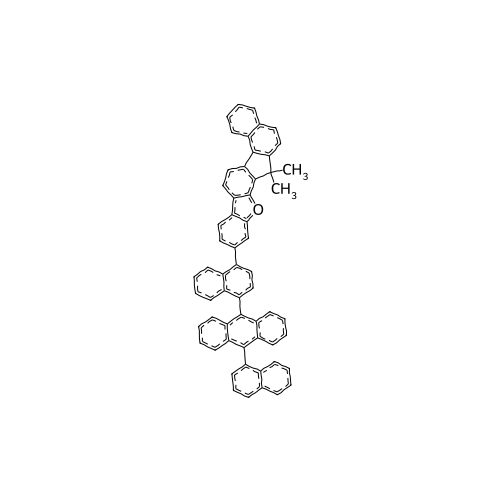 CC1(C)c2ccc3ccccc3c2-c2ccc3c(oc4cc(-c5ccc(-c6c7ccccc7c(-c7cccc8ccccc78)c7ccccc67)c6ccccc56)ccc43)c21